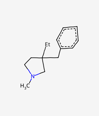 CCC1(Cc2ccccc2)CCN(C)C1